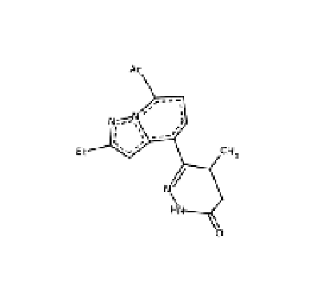 CCc1cc2c(C3=NNC(=O)CC3C)ccc(C(C)=O)n2n1